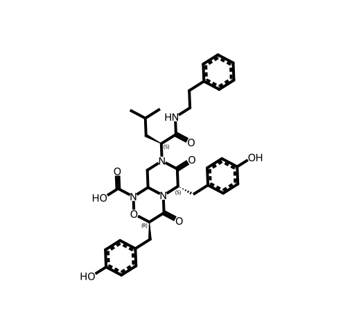 CC(C)C[C@@H](C(=O)NCCc1ccccc1)N1CC2N(C(=O)O)O[C@H](Cc3ccc(O)cc3)C(=O)N2[C@@H](Cc2ccc(O)cc2)C1=O